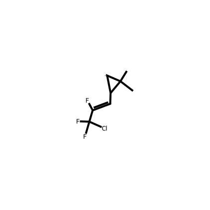 CC1(C)[CH]C1/C=C(\F)C(F)(F)Cl